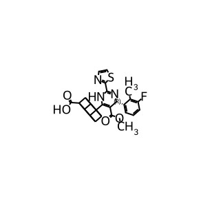 COC(=O)C1=C(C23C4C5C2C2C3C4C52C(=O)O)NC(c2nccs2)=N[C@@H]1c1cccc(F)c1C